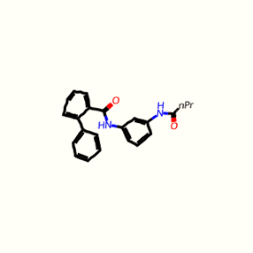 CCCC(=O)Nc1cccc(NC(=O)c2ccccc2-c2ccccc2)c1